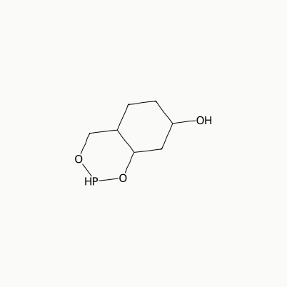 OC1CCC2COPOC2C1